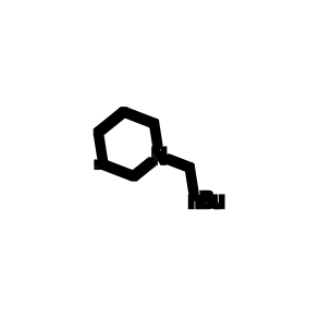 CCCCCN1C[C]CCC1